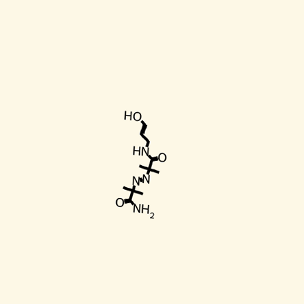 CC(C)(N=NC(C)(C)C(=O)NCC=CO)C(N)=O